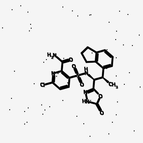 C[C@H](c1cccc2c1CCC2)[C@H](NS(=O)(=O)c1ccc(Cl)nc1C(N)=O)c1n[nH]c(=O)o1